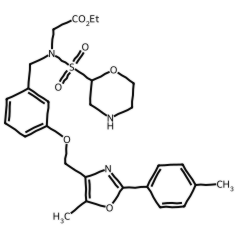 CCOC(=O)CN(Cc1cccc(OCc2nc(-c3ccc(C)cc3)oc2C)c1)S(=O)(=O)C1CNCCO1